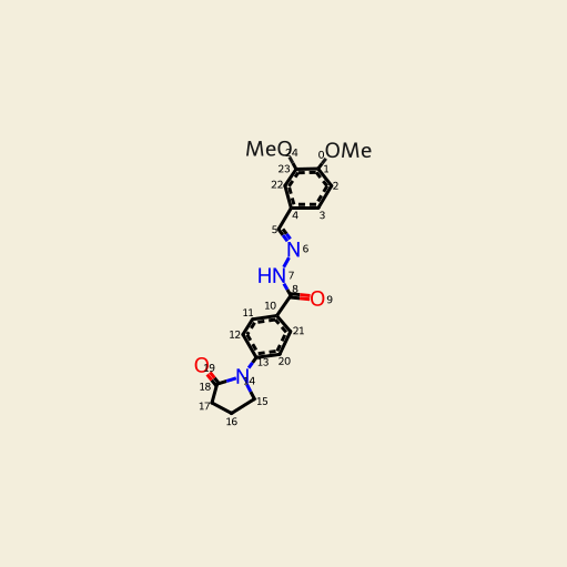 COc1ccc(/C=N/NC(=O)c2ccc(N3CCCC3=O)cc2)cc1OC